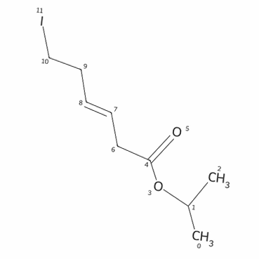 CC(C)OC(=O)CC=CCCI